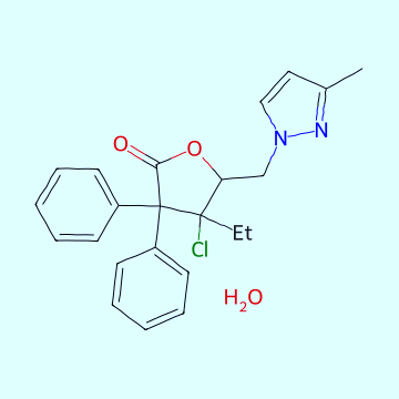 CCC1(Cl)C(Cn2ccc(C)n2)OC(=O)C1(c1ccccc1)c1ccccc1.O